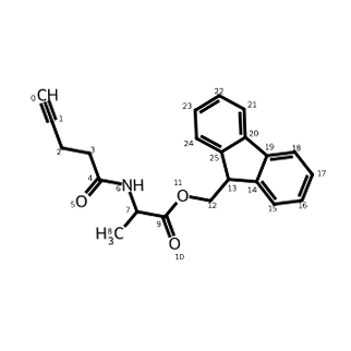 C#CCCC(=O)NC(C)C(=O)OCC1c2ccccc2-c2ccccc21